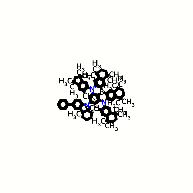 Cc1cc2c(cc1N1c3cc4c(cc3B3c5cc6c(cc5N(c5cc7c(cc5C)C(C)(C)CC7(C)C)c5cc(N7c8ccc(-c9ccccc9)cc8C8(C)CCCCC78C)cc1c53)C(C)(C)CCC6(C)C)C(C)(C)CCC4(C)C)C(C)(C)CCC2(C)C